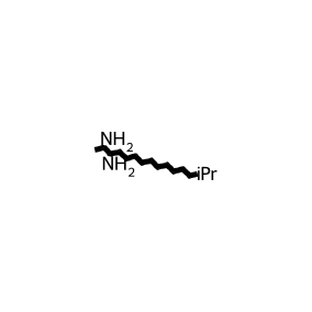 CC(C)CCCCCCCCCCC(N)C(C)N